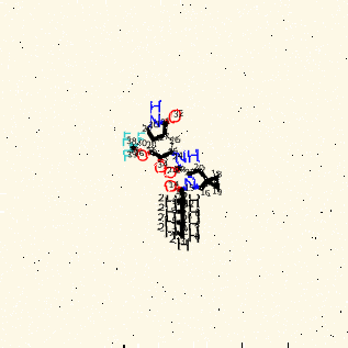 [2H]C([2H])([2H])C([2H])([2H])C([2H])([2H])C([2H])([2H])C(=O)N1CC2(CC2)C[C@H]1C(=O)N[C@@H](C[C@@H]1CCNC1=O)C(=O)COC(F)(F)F